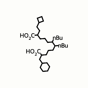 CCCCC(CCCC(CCC1CCC1)C(=O)O)C(CCCC)CCCC(CC1CCCCC1)C(=O)O